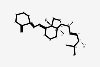 C=C1CCCCC1=CC=C1CCC[C@]2(C)[C@@H]([C@H](C)C=C[C@H](C)C(C)C)CC[C@@H]12